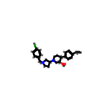 COc1ccc([C@@H]2CCN(C3CCN(Cc4ccc(F)cc4)C3)C[C@H]2O)cc1